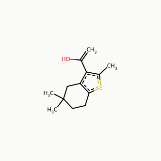 C=C(O)c1c(C)sc2c1CC(C)(C)CC2